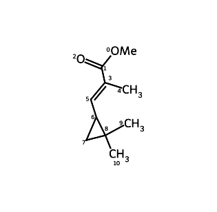 COC(=O)/C(C)=C/C1CC1(C)C